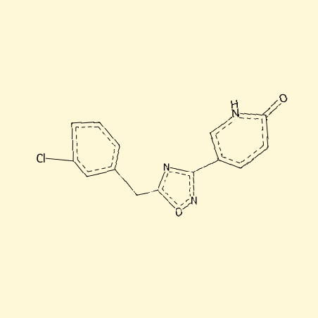 O=c1ccc(-c2noc(Cc3cccc(Cl)c3)n2)c[nH]1